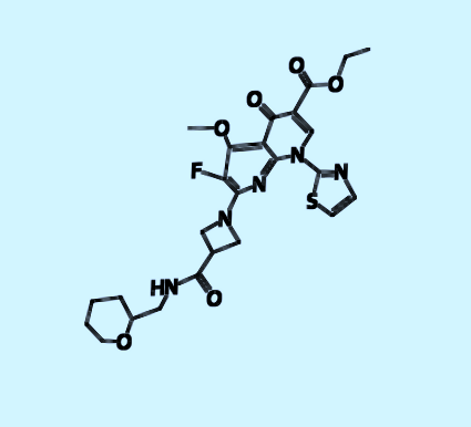 CCOC(=O)c1cn(-c2nccs2)c2nc(N3CC(C(=O)NCC4CCCCO4)C3)c(F)c(OC)c2c1=O